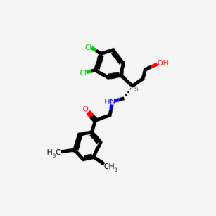 Cc1cc(C)cc(C(=O)CNC[C@@H](CCO)c2ccc(Cl)c(Cl)c2)c1